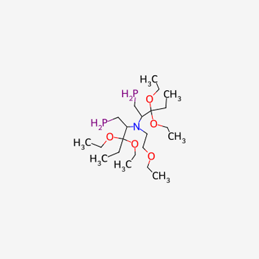 CCOCCN(C(CP)C(CC)(OCC)OCC)C(CP)C(CC)(OCC)OCC